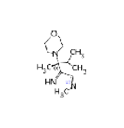 C/N=C\C(=N)[C@@](C)(C(C)C)N1CCOCC1